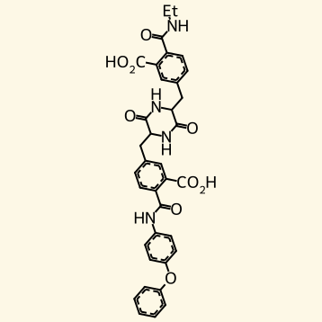 CCNC(=O)c1ccc(CC2NC(=O)C(Cc3ccc(C(=O)Nc4ccc(Oc5ccccc5)cc4)c(C(=O)O)c3)NC2=O)cc1C(=O)O